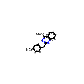 CNc1nc(Cc2ccc(C#N)cc2)nc2ccccc12